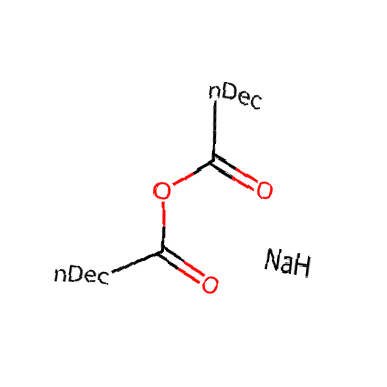 CCCCCCCCCCC(=O)OC(=O)CCCCCCCCCC.[NaH]